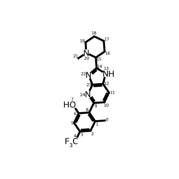 Cc1cc(C(F)(F)F)cc(O)c1-c1ccc2[nH]c(C3CCCCN3C)nc2n1